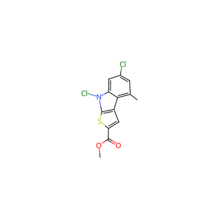 COC(=O)c1cc2c3c(C)cc(Cl)cc3n(Cl)c2s1